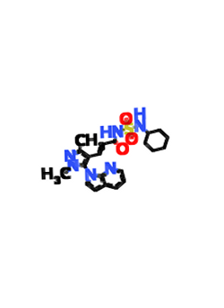 Cc1nn(C)c(-n2ccc3cccnc32)c1C=CC(=O)NS(=O)(=O)NC1CCCCC1